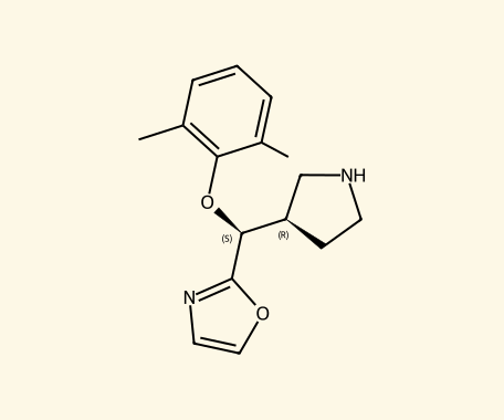 Cc1cccc(C)c1O[C@H](c1ncco1)[C@@H]1CCNC1